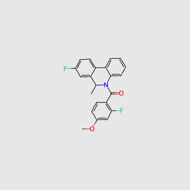 COc1ccc(C(=O)N2c3ccccc3-c3ccc(F)cc3C2C)c(F)c1